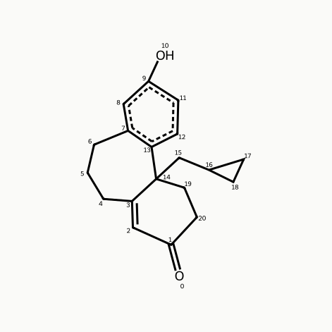 O=C1C=C2CCCc3cc(O)ccc3C2(CC2CC2)CC1